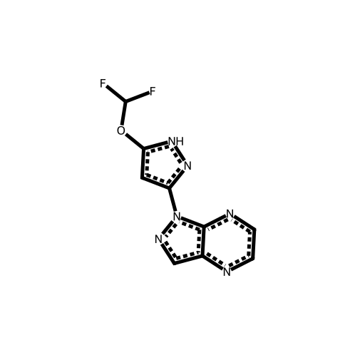 FC(F)Oc1cc(-n2ncc3nccnc32)n[nH]1